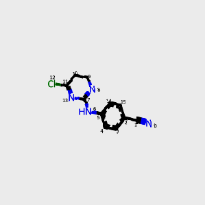 N#Cc1ccc(NC2=NCCC(Cl)=N2)cc1